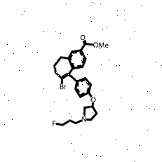 COC(=O)c1ccc2c(c1)CCCC(Br)=C2c1ccc(OC2CCN(CCCF)C2)cc1